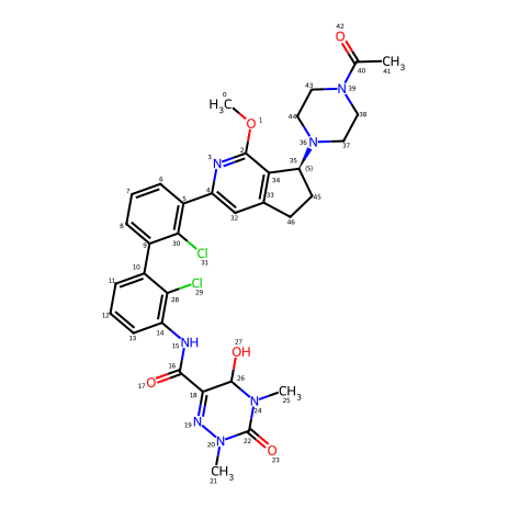 COc1nc(-c2cccc(-c3cccc(NC(=O)C4=NN(C)C(=O)N(C)C4O)c3Cl)c2Cl)cc2c1[C@@H](N1CCN(C(C)=O)CC1)CC2